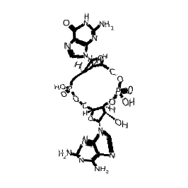 Nc1nc(N)c2ncn([C@@H]3O[C@@H]4COP(=O)(O)C[C@@H]5[C@H](O)[C@@H](COP(=O)(O)O[C@H]4[C@H]3O)O[C@H]5n3cnc4c(=O)[nH]c(N)nc43)c2n1